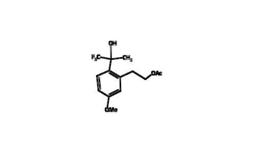 COc1ccc(C(C)(O)C(F)(F)F)c(CCOC(C)=O)c1